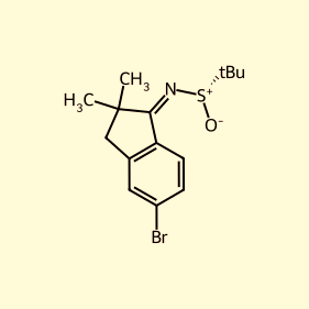 CC1(C)Cc2cc(Br)ccc2C1=N[S@@+]([O-])C(C)(C)C